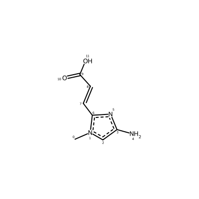 Cn1cc(N)nc1C=CC(=O)O